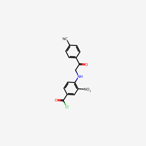 N#Cc1ccc(C(=O)CNc2ccc(C(=O)Cl)cc2[N+](=O)[O-])cc1